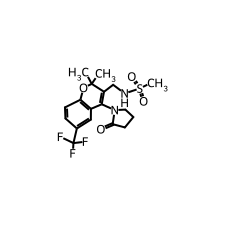 CC1(C)Oc2ccc(C(F)(F)F)cc2C(N2CCCC2=O)=C1CNS(C)(=O)=O